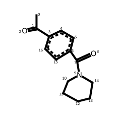 CC(=O)c1ccc(C(=O)N2CCCCC2)cc1